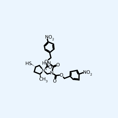 C[C@H]1C[C@H](S)C[N+]1(CN(C(N)=O)C(=O)OCc1ccc([N+](=O)[O-])cc1)C(=O)OCc1ccc([N+](=O)[O-])cc1